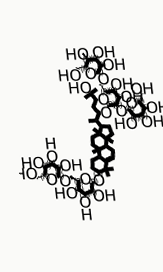 CC(C(CCC(C)(C)O)O[C@@H]1O[C@H](CO[C@@H]2O[C@H](CO)[C@@H](O)[C@H](O)[C@H]2O)[C@@H](O)[C@H](O)[C@H]1O[C@@H]1O[C@H](CO)[C@@H](O)[C@H](O)[C@H]1O)C1CCC2(C)C3CC=C4C(CC[C@H](O[C@@H]5O[C@H](CO[C@@H]6O[C@H](CO)[C@@H](O)[C@H](O)[C@H]6O)[C@@H](O)[C@H](O)[C@H]5O)C4(C)C)C3(C)CCC12C